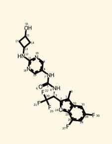 Cc1c([C@@H](NC(=O)Nc2cnc(NC3CC(O)C3)nc2)C(F)(F)F)oc2c(F)cc(F)cc12